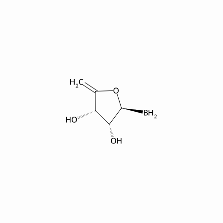 B[C@@H]1OC(=C)[C@@H](O)[C@H]1O